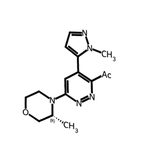 CC(=O)c1nnc(N2CCOC[C@H]2C)cc1-c1ccnn1C